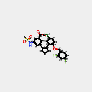 CS(=O)(=O)Nc1cc(C(=O)O)cc(C2=C(c3cc(Cl)ccc3OCc3ccc(F)cc3F)CCC2)c1